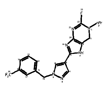 CCCN1Cc2[nH]c(-c3cnn(Cc4cccc(C(F)(F)F)c4)c3)nc2N=C1F